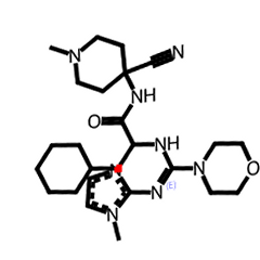 CN1CCC(C#N)(NC(=O)C(CC2CCCCC2)N/C(=N\c2nccn2C)N2CCOCC2)CC1